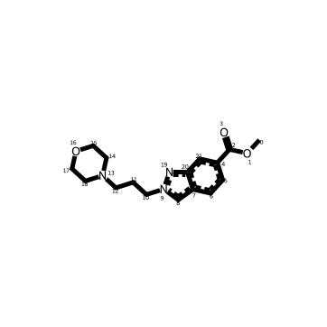 COC(=O)c1ccc2cn(CCCN3CCOCC3)nc2c1